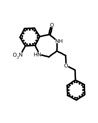 O=C1NC(COCc2ccccc2)CNc2c1cccc2[N+](=O)[O-]